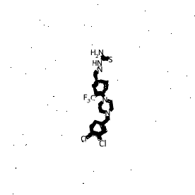 NC(=S)NN=Cc1ccc(N2CCN(Cc3ccc(Cl)c(Cl)c3)CC2)c(C(F)(F)F)c1